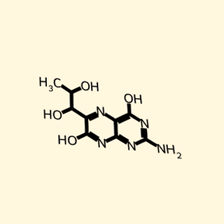 CC(O)C(O)c1nc2c(O)nc(N)nc2nc1O